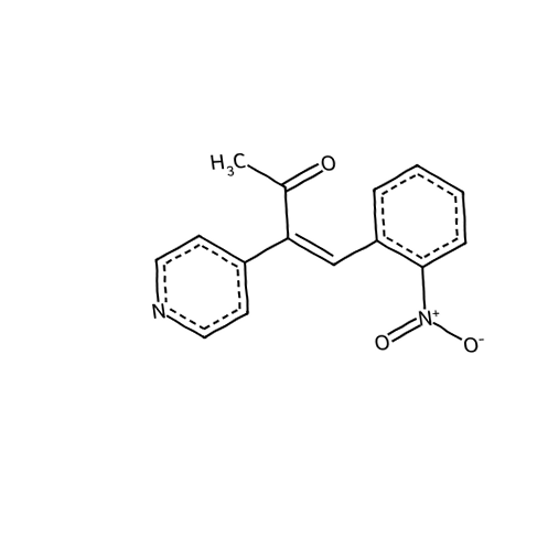 CC(=O)C(=Cc1ccccc1[N+](=O)[O-])c1ccncc1